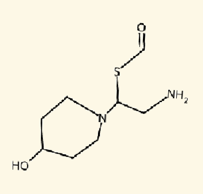 NCC(SC=O)N1CCC(O)CC1